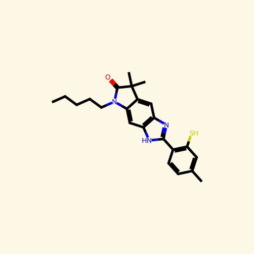 CCCCCN1C(=O)C(C)(C)c2cc3nc(-c4ccc(C)cc4S)[nH]c3cc21